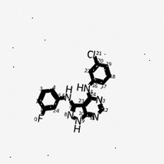 Fc1cccc(Nc2n[nH]c3ncnc(Nc4cccc(Cl)c4)c23)c1